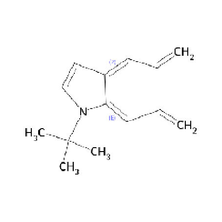 C=C/C=c1/ccn(C(C)(C)C)/c1=C/C=C